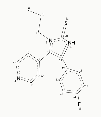 CCCn1c(-c2ccncc2)c(-c2ccc(F)cc2)[nH]c1=S